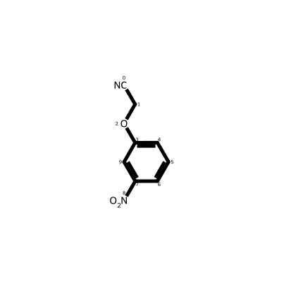 N#CCOc1cccc([N+](=O)[O-])c1